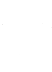 O=C(O)c1cc(-c2ccc(F)cc2)c(-c2ccc(F)cc2)s1